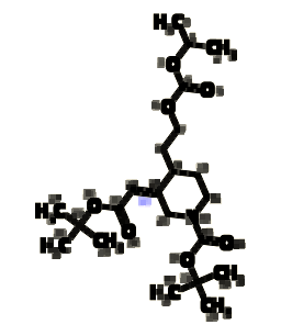 CC(C)OC(=O)OCCC1CCN(C(=O)OC(C)(C)C)C/C1=C\C(=O)OC(C)(C)C